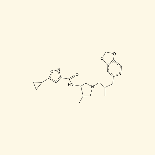 CC(Cc1ccc2c(c1)OCO2)CN1CC(C)C(NC(=O)c2cc(C3CC3)on2)C1